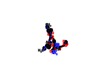 CC(=O)N(CCCN(CCN1C(=O)c2cccc3c(N4CCN(C)CC4)ccc(c23)C1=O)C(=O)OCc1ccc(NC(=O)[C@H](CCCNC(N)=O)NC(=O)[C@@H](NC(=O)CCCCC(=O)ON2C(=O)CCC2=O)C(C)C)cc1)CCN1C(=O)c2cccc3c(N4CCN(C)CC4)ccc(c23)C1=O